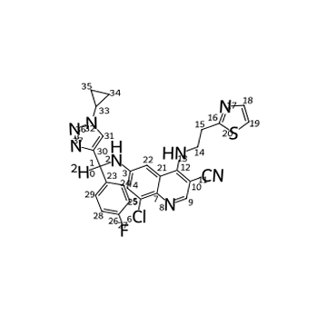 [2H]C(Nc1cc(Cl)c2ncc(C#N)c(NCCc3nccs3)c2c1)(c1ccc(F)cc1)c1cn(C2CC2)nn1